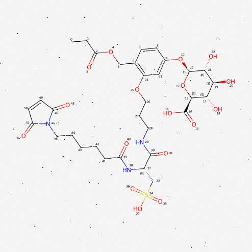 CCC(=O)OCc1ccc(O[C@@H]2O[C@H](C(=O)O)[C@@H](O)[C@H](O)[C@H]2O)cc1OCCCNC(=O)[C@H](CS(=O)(=O)O)NC(=O)CCCCCN1C(=O)C=CC1=O